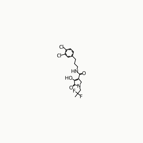 CC(F)(F)CN1CC(C(=O)NCCCc2ccc(Cl)c(Cl)c2)=C(O)C1=O